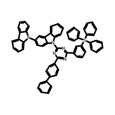 c1ccc(-c2ccc(-c3nc(-c4cccc([Si](c5ccccc5)(c5ccccc5)c5ccccc5)c4)nc(-n4c5ccccc5c5cc(-n6c7ccccc7c7ccccc76)ccc54)n3)cc2)cc1